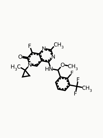 COC(Nc1nc(C)nc2c(F)c(=O)n(C3(C)CC3)cc12)c1cccc(C(C)(F)F)c1F